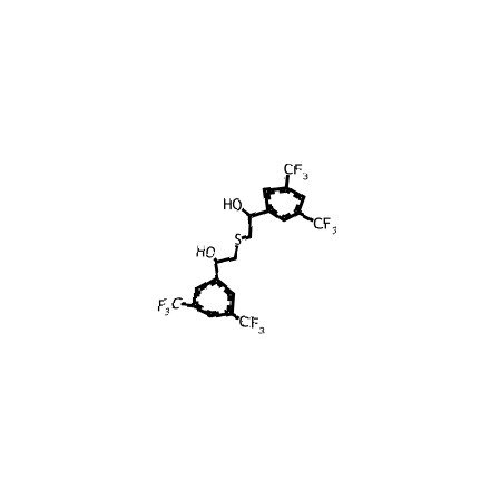 OC(CSCC(O)c1cc(C(F)(F)F)cc(C(F)(F)F)c1)c1cc(C(F)(F)F)cc(C(F)(F)F)c1